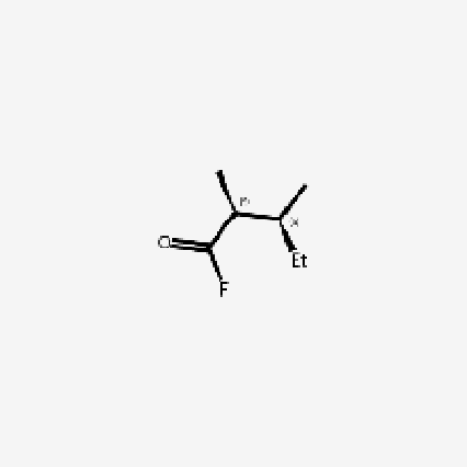 CC[C@H](C)[C@H](C)C(=O)F